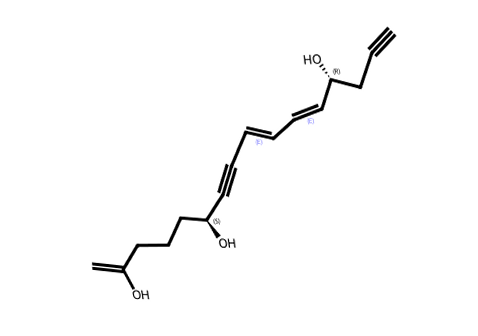 C#CC[C@@H](O)/C=C/C=C/C#C[C@@H](O)CCCC(=C)O